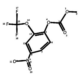 COC(=O)Oc1ccc([N+](=O)[O-])cc1OC(F)(F)F